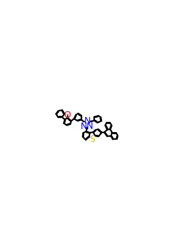 c1ccc(-c2nc(-c3cccc(-c4cccc5c4oc4ccccc45)c3)nc(-c3cccc4sc5cc(-c6cc7ccccc7c7ccccc67)ccc5c34)n2)cc1